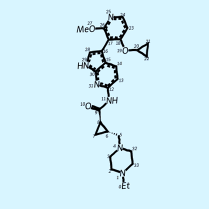 CCN1CCN(C[C@@H]2C[C@H]2C(=O)Nc2ccc3c(-c4c(OC5CC5)ccnc4OC)c[nH]c3n2)CC1